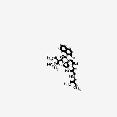 CCC(CC)CNCC(O)CNC(=O)[C@@H](Cc1ccc2ccccc2c1)N(C=O)C1CCCN1C(=O)C(CC)CC.Cl